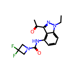 CCn1nc(C(C)=O)c2c(NC(=O)N3CC(F)(F)C3)cccc21